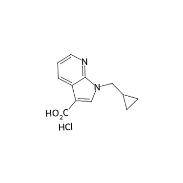 Cl.O=C(O)c1cn(CC2CC2)c2ncccc12